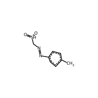 Cc1ccc(N=NC[SH](=O)=O)cc1